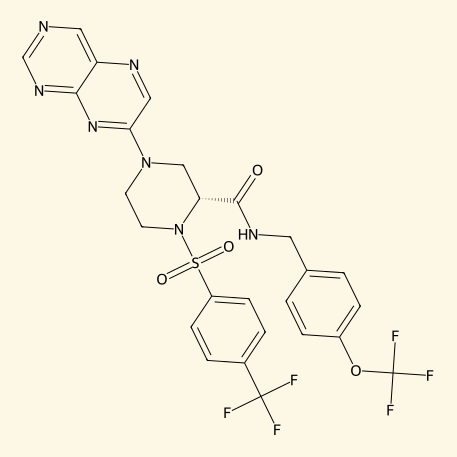 O=C(NCc1ccc(OC(F)(F)F)cc1)[C@H]1CN(c2cnc3cncnc3n2)CCN1S(=O)(=O)c1ccc(C(F)(F)F)cc1